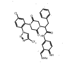 CN/C=C1/C=C(NC(=O)C(Cc2ccccc2)N2CC(=O)N(c3cc(Cl)ccc3-n3cc(C(F)(F)F)nn3)CC2=O)C=CC1=N